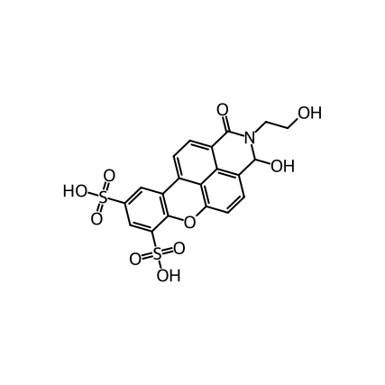 O=C1c2ccc3c4c(ccc(c24)C(O)N1CCO)Oc1c-3cc(S(=O)(=O)O)cc1S(=O)(=O)O